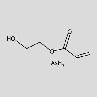 C=CC(=O)OCCO.[AsH3]